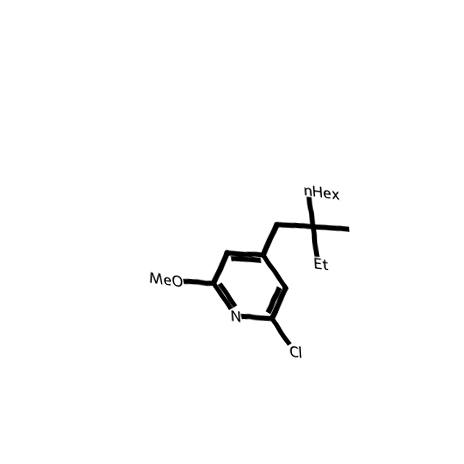 CCCCCCC(C)(CC)Cc1cc(Cl)nc(OC)c1